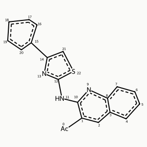 CC(=O)c1cc2ccccc2nc1Nc1nc(-c2ccccc2)cs1